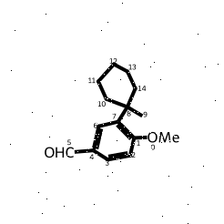 COc1ccc(C=O)cc1C1(C)CCCCC1